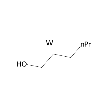 CCCCCCO.[W]